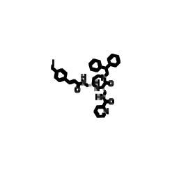 O=C(/C=C/c1ccc(CI)cc1)NC[C@@H]1CCN(CC(c2ccccc2)c2ccccc2)C(=O)[C@H](CNC(=O)c2ccccn2)N1